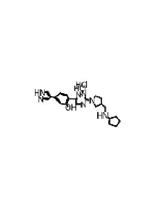 Cl.Cl.Oc1cc(-c2cn[nH]c2)ccc1-c1cnc(N2CCC(CNC3CCCC3)C2)nn1